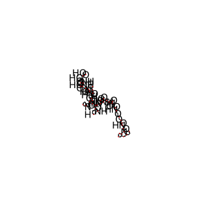 O=C(O)CC[C@H](NC(=O)N[C@@H](CCC(=O)NNC(Cc1ccccc1)C(=O)NCC(=O)NC(Cc1c[nH]c2ccccc12)C(=O)NC(Cc1c[nH]c2ccccc12)C(=O)NCC(=O)NC(CSC1CC(=O)N(CCC(=O)NCCOCCOCCC(=O)NCCC(=O)N2Cc3ccccc3/C=C\c3ccccc32)C1=O)C(=O)O)C(=O)O)C(=O)O